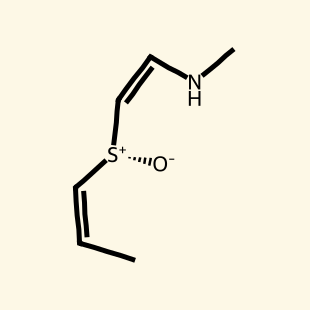 C/C=C\[S@@+]([O-])/C=C\NC